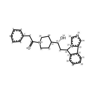 O=C(Cc1ccccc1)N1CCC([C@H](O)CC2c3ccccc3-c3cncn32)CC1